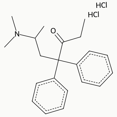 CCC(=O)C(CC(C)N(C)C)(c1ccccc1)c1ccccc1.Cl.Cl